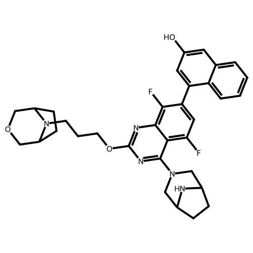 Oc1cc(-c2cc(F)c3c(N4CC5CCC(C4)N5)nc(OCCCN4C5CCC4COC5)nc3c2F)c2ccccc2c1